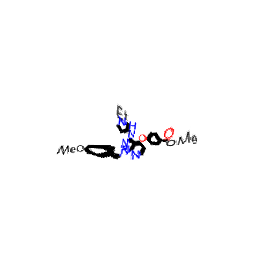 CCN1CC[C@@H](Nc2nn(Cc3ccc(OC)cc3)c3nccc(Oc4ccc(C(=O)OC)cc4)c23)C1